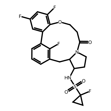 O=C1CCOc2c(F)cc(F)cc2-c2cccc(c2F)CC2C(NS(=O)(=O)C3(F)CC3)CCN12